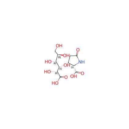 O=C(O)[C@H](O)[C@@H](O)[C@H](O)[C@H](O)CO.O=C1CC[C@@H](C(=O)O)N1